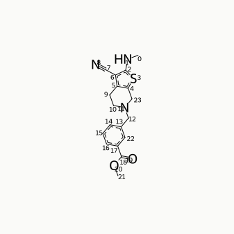 CNc1sc2c(c1C#N)CCN(Cc1cccc(C(=O)OC)c1)C2